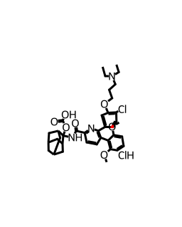 CCN(CC)CCCOc1cc(-c2nc(C(=O)NC3(OC(=O)O)C4CC5CC(C4)CC3C5)ccc2-c2c(OC)cccc2OC)ccc1Cl.Cl